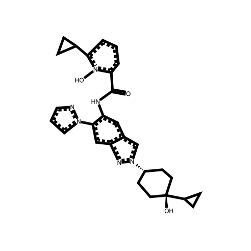 O=C(Nc1cc2cn([C@H]3CC[C@@](O)(C4CC4)CC3)nc2cc1-n1cccn1)c1cccc(C2CC2)[n+]1O